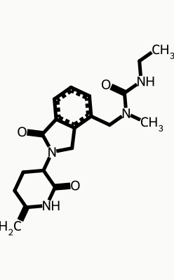 C=C1CCC(N2Cc3c(CN(C)C(=O)NCC)cccc3C2=O)C(=O)N1